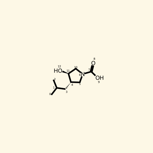 CC(C)C[C@H]1CN(C(=O)O)C[C@@H]1O